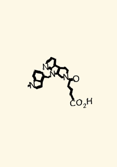 Cn1ccc2c(Cn3c4c(c5cccnc53)CCN(C(=O)CCCCC(=O)O)C4)cccc21